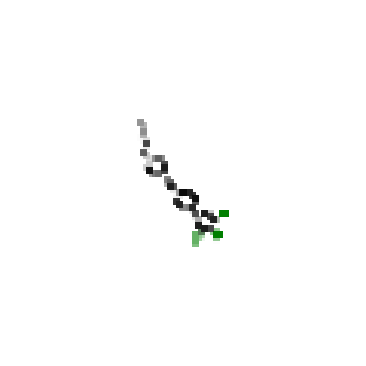 CCCCC[C@H]1CC[C@H](C#CC2CCC(c3cc(F)c(F)c(F)c3)CC2)CC1